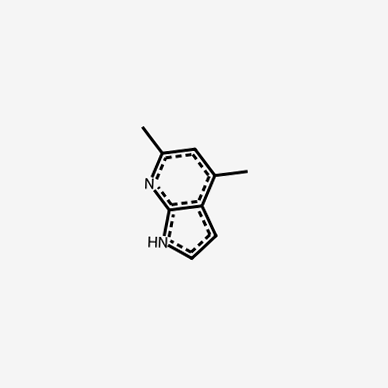 Cc1cc(C)c2cc[nH]c2n1